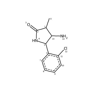 CC1C(=O)NC(c2ccccc2Cl)C1N